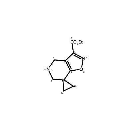 CCOC(=O)c1noc2c1CNCC21CC1